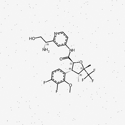 COc1c([C@@H]2[C@@H](C(=O)Nc3ccnc([C@H](N)CO)c3)O[C@](C)(C(F)(F)F)[C@@H]2C)ccc(F)c1F